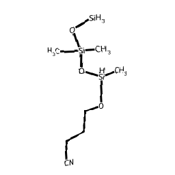 C[SiH](OCCCC#N)O[Si](C)(C)O[SiH3]